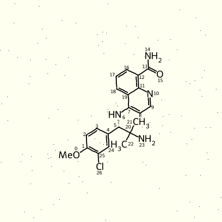 COc1ccc([C@H](Nc2ccnc3c(C(N)=O)cccc23)C(C)(C)N)cc1Cl